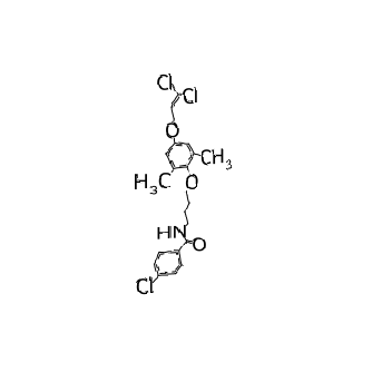 Cc1cc(OCC=C(Cl)Cl)cc(C)c1OCCCCNC(=O)c1ccc(Cl)cc1